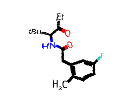 CCC(=O)C(NC(=O)Cc1cc(F)ccc1C)C(C)(C)C